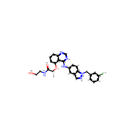 C[C@@H](Oc1cccc2ncnc(Nc3ccc4c(cnn4Cc4cccc(F)c4)c3)c12)C(=O)NCCO